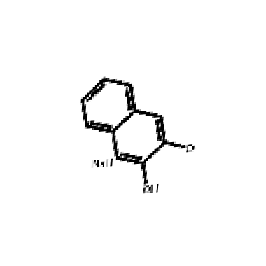 [NaH].[O]c1cc2ccccc2cc1O